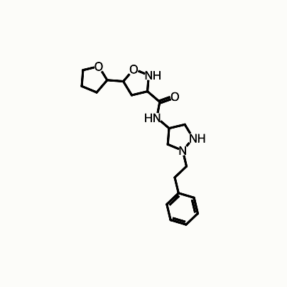 O=C(NC1CNN(CCc2ccccc2)C1)C1CC(C2CCCO2)ON1